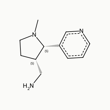 CN1CC[C@@H](CN)[C@H]1c1cccnc1